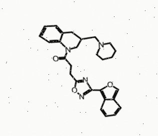 O=C(CCc1nc(-c2occ3ccccc23)no1)N1CC(CN2CCCCC2)Cc2ccccc21